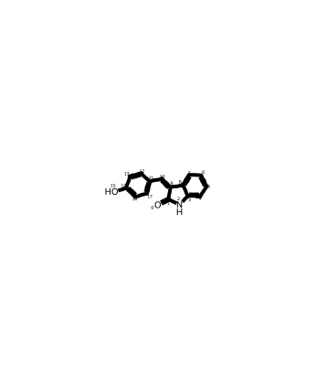 O=C1Nc2ccccc2C1=Cc1ccc(O)cc1